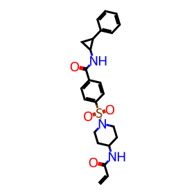 C=CC(=O)NC1CCN(S(=O)(=O)c2ccc(C(=O)NC3CC3c3ccccc3)cc2)CC1